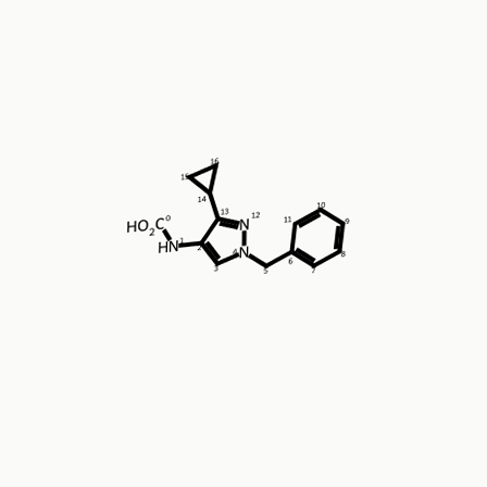 O=C(O)Nc1cn(Cc2ccccc2)nc1C1CC1